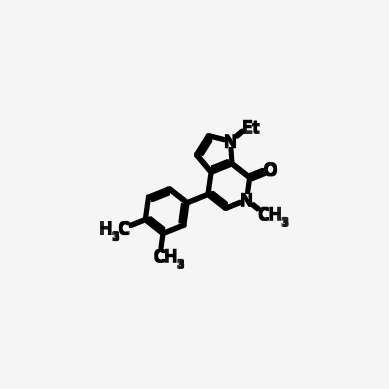 CCn1ccc2c(-c3ccc(C)c(C)c3)cn(C)c(=O)c21